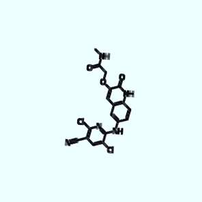 CNC(=O)COc1cc2cc(Nc3nc(Cl)c(C#N)cc3Cl)ccc2[nH]c1=O